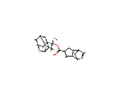 CC(C)(OC(=O)C1CC2C3C=CC(C3)C2C1)C12CC3CC(CC(C3)C1)C2